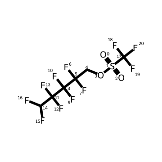 O=S(=O)(OCC(F)(F)C(F)(F)C(F)(F)C(F)F)C(F)(F)F